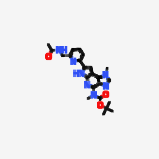 CC(=O)NCc1cccc(-c2cc3c(nc(N(C)C(=O)OC(C)(C)C)c4ncn(C)c43)[nH]2)n1